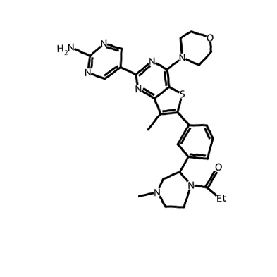 CCC(=O)N1CCN(C)CC1c1cccc(-c2sc3c(N4CCOCC4)nc(-c4cnc(N)nc4)nc3c2C)c1